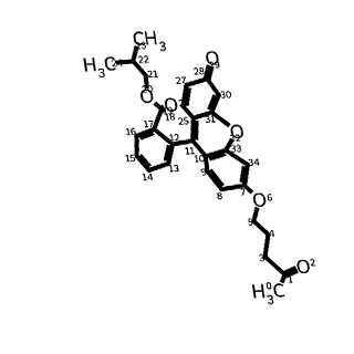 CC(=O)CCCOc1ccc2c(-c3ccccc3C(=O)OCC(C)C)c3ccc(=O)cc-3oc2c1